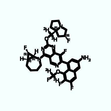 [2H]C([2H])(F)Oc1c(F)c(F)cc2cc(N)cc(-c3ncc4c(N5CCCC[C@H]6[C@H](F)[C@H]65)nc(OC([2H])([2H])[C@@]56CCCN5C[C@H](F)C6)nc4c3F)c12